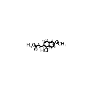 COc1ccc2cc(CCC(C)=O)ccc2c1.Cl